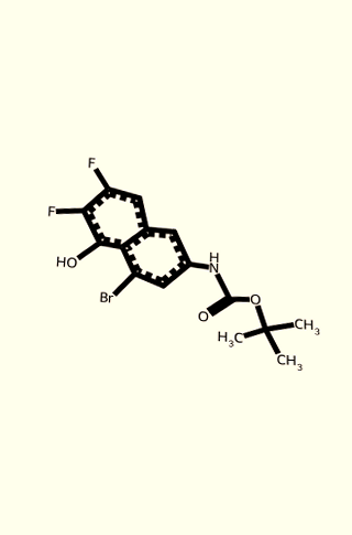 CC(C)(C)OC(=O)Nc1cc(Br)c2c(O)c(F)c(F)cc2c1